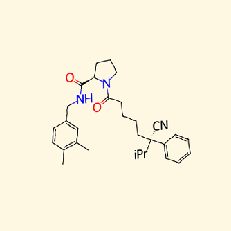 Cc1ccc(CNC(=O)[C@H]2CCCN2C(=O)CCCC[C@@](C#N)(c2ccccc2)C(C)C)cc1C